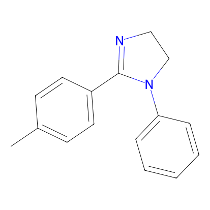 Cc1ccc(C2=NCCN2c2ccccc2)cc1